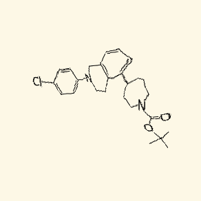 CC(C)(C)OC(=O)N1CCC(c2cccc3c2CCN(c2ccc(Cl)cc2)C3)CC1